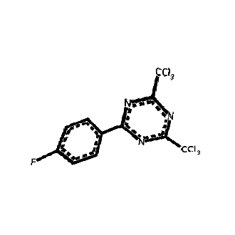 Fc1ccc(-c2nc(C(Cl)(Cl)Cl)nc(C(Cl)(Cl)Cl)n2)cc1